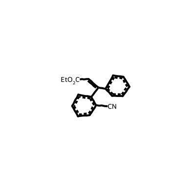 CCOC(=O)C=C(c1ccccc1)c1ccccc1C#N